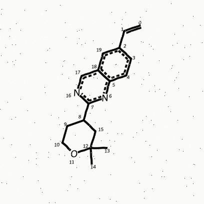 C=Cc1ccc2nc(C3CCOC(C)(C)C3)ncc2c1